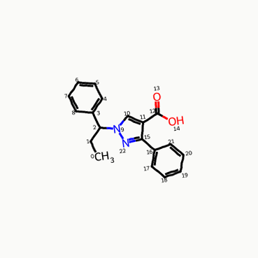 CCC(c1ccccc1)n1cc(C(=O)O)c(-c2ccccc2)n1